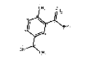 C=C(NC(C)=O)c1cc(C(C)N=O)ccc1C